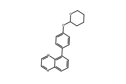 c1cc(-c2ccc(OC3CCCCO3)cc2)c2nccnc2c1